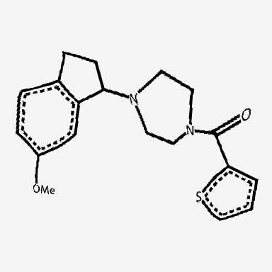 COc1ccc2c(c1)C(N1CCN(C(=O)c3cccs3)CC1)CC2